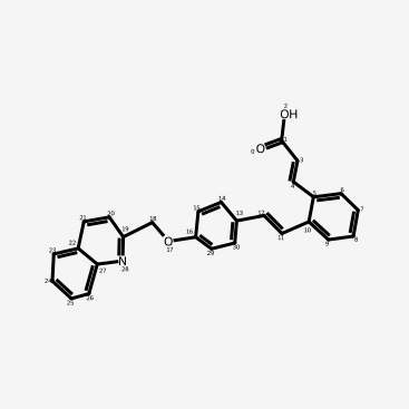 O=C(O)C=Cc1ccccc1C=Cc1ccc(OCc2ccc3ccccc3n2)cc1